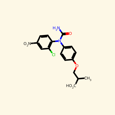 CC(COc1ccc(N(C(N)=O)c2ccc([N+](=O)[O-])cc2Cl)cc1)C(=O)O